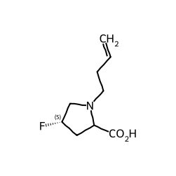 C=CCCN1C[C@@H](F)CC1C(=O)O